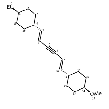 CC[C@H]1CC[C@H](C=CC#CC=C[C@H]2CC[C@H](OC)CC2)CC1